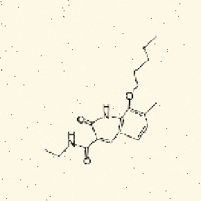 CCCCCOc1c(C)ccc2cc(C(=O)NCC)c(=O)[nH]c12